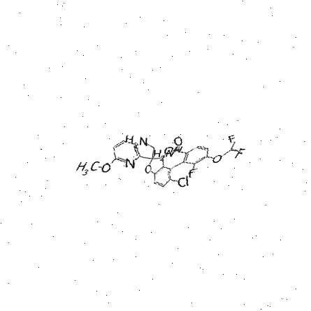 COc1cccc(C2(CN)Oc3ccc(Cl)c(-c4c(C(N)=O)ccc(OC(F)F)c4F)c3C2O)n1